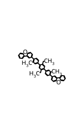 CCc1cc(-c2ccc(-c3ccc4oc5ccccc5c4c3)c(C)c2)c(CC)cc1-c1ccc(-c2ccc3oc4ccccc4c3c2)c(C)c1